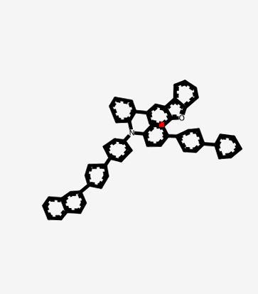 c1ccc(-c2ccc(-c3ccc(N(c4ccc(-c5ccc(-c6ccc7ccccc7c6)cc5)cc4)c4ccccc4-c4ccc5oc6ccccc6c5c4)cc3)cc2)cc1